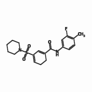 Cc1ccc(NC(=O)C2=CC(S(=O)(=O)N3CCCCC3)=CCC2)cc1F